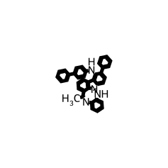 Cc1nc2ccccc2[nH]n2c3ccc(-c4ccccc4)c(Nc4ccc(-c5ccccc5)cc4)c3c3cccc1c32